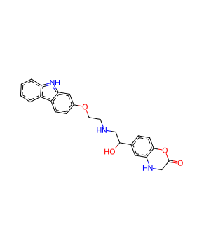 O=C1CNc2cc(C(O)CNCCOc3ccc4c(c3)[nH]c3ccccc34)ccc2O1